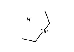 C[CH2][Ga+][CH2]C.[H-]